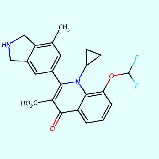 Cc1cc(-c2c(C(=O)O)c(=O)c3cccc(OC(F)F)c3n2C2CC2)cc2c1CNC2